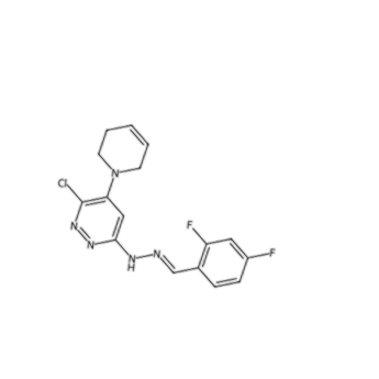 Fc1ccc(/C=N/Nc2cc(N3CC=CCC3)c(Cl)nn2)c(F)c1